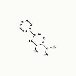 CCC[C@@H](NC(=O)c1ccccc1)C(=O)N(CCC)CCC